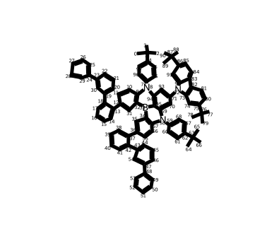 CC(C)(C)c1ccc(N2c3ccc(-c4ccccc4-c4cccc(-c5ccccc5)c4)cc3B3c4cc(-c5ccccc5-c5cccc(-c6ccccc6)c5)ccc4N(c4ccc(C(C)(C)C)cc4)c4cc(-n5c6cc(C(C)(C)C)ccc6c6ccc(C(C)(C)C)cc65)cc2c43)cc1